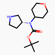 CC(C)(C)OC(=O)N(C1CCOCC1)[C@@H]1CCNC1